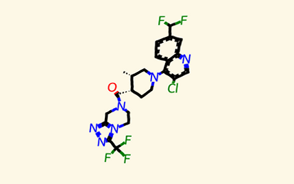 C[C@@H]1CN(c2c(Cl)cnc3cc(C(F)F)ccc23)CC[C@@H]1C(=O)N1CCn2c(nnc2C(F)(F)F)C1